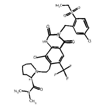 CCS(=O)(=O)c1ccc(Cl)cc1Cn1c(=O)[nH]c2c(Cl)c(CN3CCC[C@@H]3C(=O)N(C)C)c(C(F)(F)F)cc2c1=O